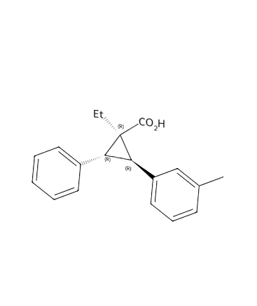 CC[C@@]1(C(=O)O)[C@@H](c2ccccc2)[C@@H]1c1cccc(C)c1